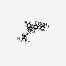 CC=C(C)C(=O)OCCOC(=O)N(c1ccc(C(=O)c2ccccc2C)c(Cl)c1)c1ccc(F)cc1C